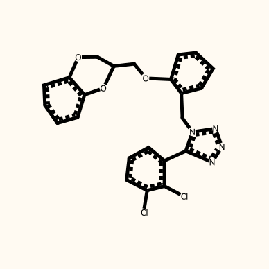 Clc1cccc(-c2nnnn2Cc2ccccc2OCC2COc3ccccc3O2)c1Cl